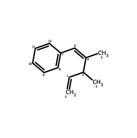 C=CC(C)C(C)=Cc1ccccc1